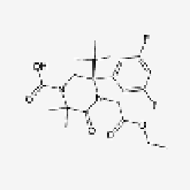 CCOC(=O)CN1C(=O)C(C)(C)N(C(=O)O)C[C@@]1(c1cc(F)cc(F)c1)C(C)(C)C